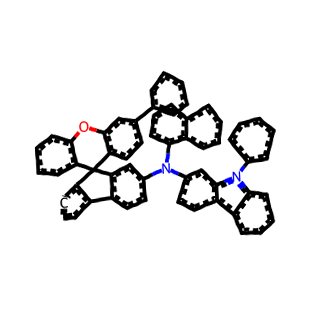 c1ccc(-c2ccc3c(c2)Oc2ccccc2C32c3ccccc3-c3ccc(N(c4ccc5c6ccccc6n(-c6ccccc6)c5c4)c4cccc5ccccc45)cc32)cc1